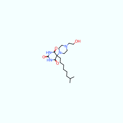 CC(C)CCCCCCC1(N2CCN(CCO)CC2)C(=O)NC(=O)NC1=O